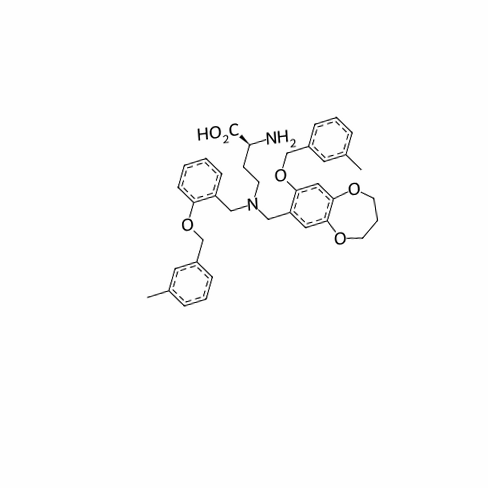 Cc1cccc(COc2ccccc2CN(CC[C@H](N)C(=O)O)Cc2cc3c(cc2OCc2cccc(C)c2)OCCCO3)c1